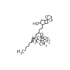 CCCCCCCCCC(CCC1C(O)CC2C1CC21OCCO1)O[Si](C)(C)C(C)(C)C